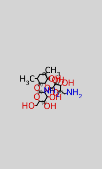 CC1C[C@@H](C)[C@@H](O)C(O[C@@H]2O[C@H](CN)C(O)[C@@H]2O)[C@@H]1O[C@H]1OC(CO)[C@@H](O)C(O)C1N